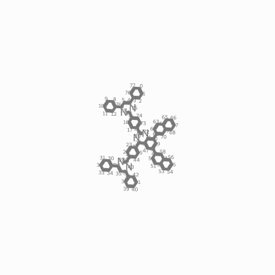 c1ccc(-c2cc(-c3ccccc3)nc(-c3ccc(-c4nc(-c5ccc(-c6nc(-c7ccccc7)cc(-c7ccccc7)n6)cc5)c5cc(-c6ccc7ccccc7c6)cc(-c6ccc7ccccc7c6)c5n4)cc3)n2)cc1